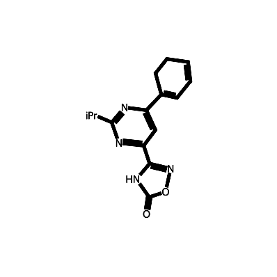 CC(C)c1nc(C2=CC=CCC2)cc(-c2noc(=O)[nH]2)n1